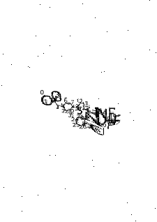 COC(=O)Cc1ccc(C2=CCC(c3nc(C(F)(F)F)cn3-c3ccccc3Cl)S2)c(C)c1